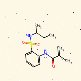 C=C(C)C(=O)Nc1ccccc1S(=O)(=O)NC(C)CC